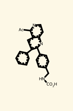 CC(=O)c1nccc2nc(-c3ccc(CNC(=O)O)cc3)c(-c3ccccc3)cc12